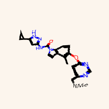 CNCc1cc(Oc2ccc3c(ccn3C(=O)Nc3cc(C4CC4)[nH]n3)c2C)ncn1